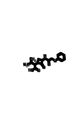 C=C(C)C(C(=O)O)N1CC(NC(=O)COc2ccccc2)C1=O